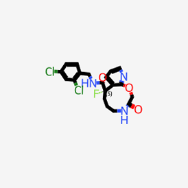 O=C1COc2ncccc2[C@](F)(C(=O)NCc2ccc(Cl)cc2Cl)CCCN1